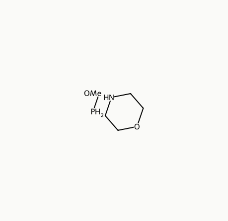 C1COCCN1.COP